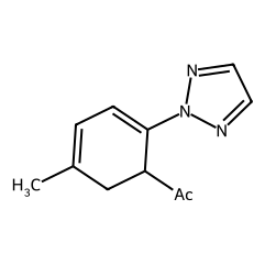 CC(=O)C1CC(C)=CC=C1n1nccn1